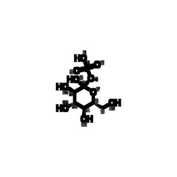 O=S(=O)(O)OC1(O)O[C@H](CO)[C@@H](O)[C@H](O)[C@H]1O